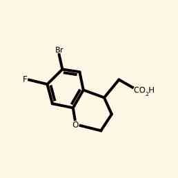 O=C(O)CC1CCOc2cc(F)c(Br)cc21